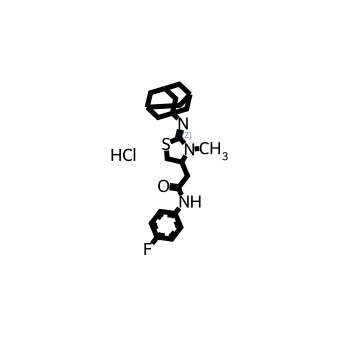 CN1/C(=N/C23CC4CC(CC(C4)C2)C3)SCC1CC(=O)Nc1ccc(F)cc1.Cl